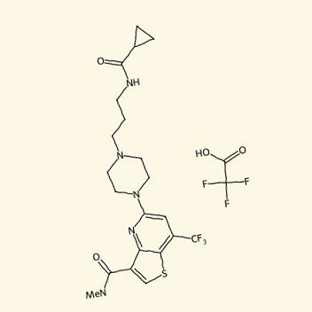 CNC(=O)c1csc2c(C(F)(F)F)cc(N3CCN(CCCNC(=O)C4CC4)CC3)nc12.O=C(O)C(F)(F)F